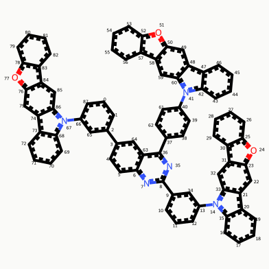 c1cc(-c2ccc3nc(-c4cccc(-n5c6ccccc6c6cc7oc8ccccc8c7cc65)c4)nc(-c4ccc(-n5c6ccccc6c6cc7oc8ccccc8c7cc65)cc4)c3c2)cc(-n2c3ccccc3c3cc4oc5ccccc5c4cc32)c1